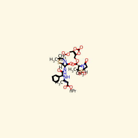 CCCOC(=O)/C=C(\C)NC(C(=O)NC1C(=O)N2[C@@H]1SC(C)(C)[C@@H]2C(=O)OCc1oc(=O)oc1COC(=O)[C@@H]1N2C(=O)C[C@H]2S(=O)(=O)C1(C)C)c1ccccc1